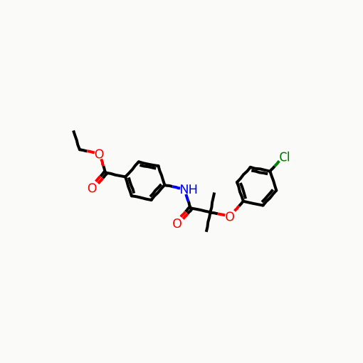 CCOC(=O)c1ccc(NC(=O)C(C)(C)Oc2ccc(Cl)cc2)cc1